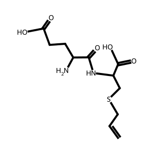 C=CCSCC(NC(=O)C(N)CCC(=O)O)C(=O)O